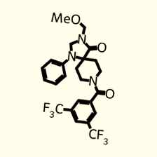 COCN1CN(c2ccccc2)C2(CCN(C(=O)c3cc(C(F)(F)F)cc(C(F)(F)F)c3)CC2)C1=O